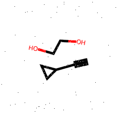 C#CC1CC1.OCCO